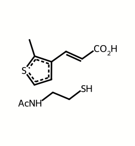 CC(=O)NCCS.Cc1sccc1C=CC(=O)O